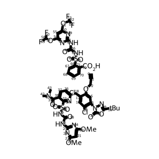 C#CCOc1cc(-n2nc(C(C)(C)C)oc2=O)c(Cl)cc1Cl.COc1cc(OC)nc(NC(=O)NS(=O)(=O)c2ncccc2C(=O)N(C)C)n1.O=C(Nc1nc(OC(F)F)cc(OC(F)F)n1)NS(=O)(=O)c1ccccc1C(=O)O